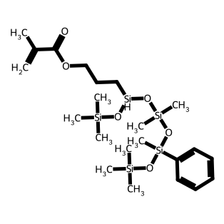 C=C(C)C(=O)OCCC[SiH](O[Si](C)(C)C)O[Si](C)(C)O[Si](C)(O[Si](C)(C)C)c1ccccc1